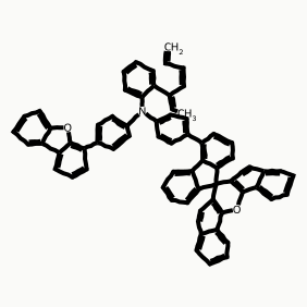 C=C/C=C\C(=C/C)c1ccccc1N(c1ccc(-c2cccc3c2-c2ccccc2C32c3ccc4ccccc4c3Oc3c2ccc2ccccc32)cc1)c1ccc(-c2cccc3c2oc2ccccc23)cc1